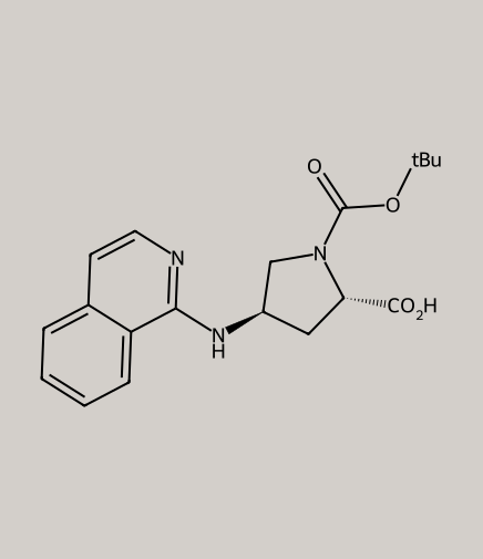 CC(C)(C)OC(=O)N1C[C@H](Nc2nccc3ccccc23)C[C@H]1C(=O)O